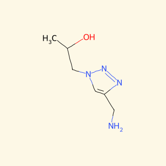 CC(O)Cn1cc(CN)nn1